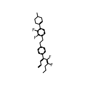 C=C/C=C(\C(F)=C(\F)CCC)c1ccc(CCc2ccc(C3=CCC(C)CC3)c(F)c2F)cc1